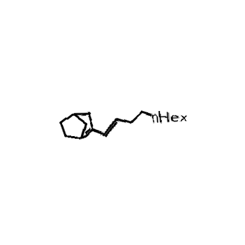 CCCCCCCC/C=C/C1=C2CCC(C1)C2